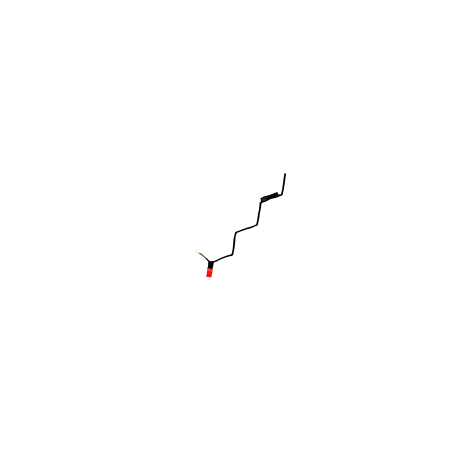 CC=CCCCC(=O)S